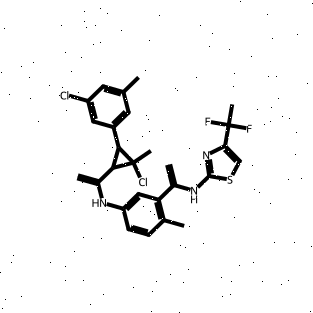 C=C(Nc1nc(C(C)(F)F)cs1)c1cc(NC(=C)C2C(c3cc(C)cc(Cl)c3)C2(C)Cl)ccc1C